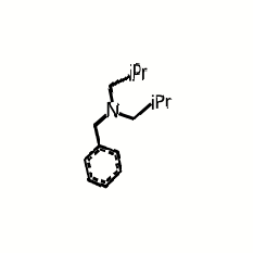 CC(C)CN(Cc1ccccc1)CC(C)C